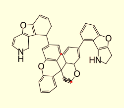 C1=Cc2oc3c(c2C(c2ccc4c(c2)Oc2ccccc2C42c4ccccc4OC4C=C(c5cccc6oc7c(c56)NCC7)C=CC42)C1)CNC=C3